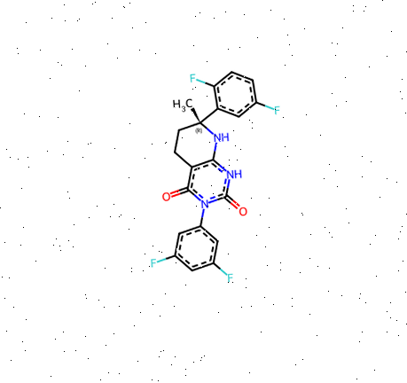 C[C@]1(c2cc(F)ccc2F)CCc2c([nH]c(=O)n(-c3cc(F)cc(F)c3)c2=O)N1